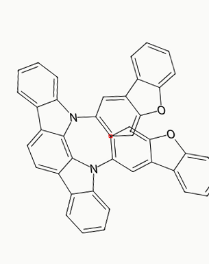 c1ccc2c(c1)oc1ccc(-n3c4ccccc4c4ccc5c6ccccc6n(-c6ccc7oc8ccccc8c7c6)c5c43)cc12